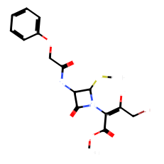 CC(C)(C)OC(=O)C(=C(O)CBr)N1C(=O)C(NC(=O)COc2ccccc2)C1SC=O